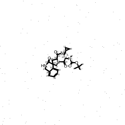 CN(C(=O)OC(C)(C)C)[C@@H](CC1CC1)C(=O)N1CC2(CC1C(N)=O)C(=O)NCc1ccccc12